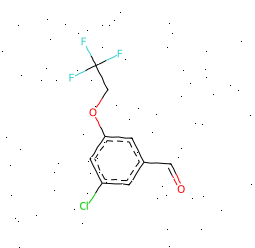 O=Cc1cc(Cl)cc(OCC(F)(F)F)c1